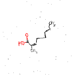 CCCCCC=C(C)C(=O)O